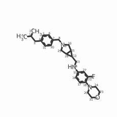 CC(C)Cc1ccc(CN2CC3C(CNc4ccc(N5CCOCC5)c(F)c4)C3C2)cc1